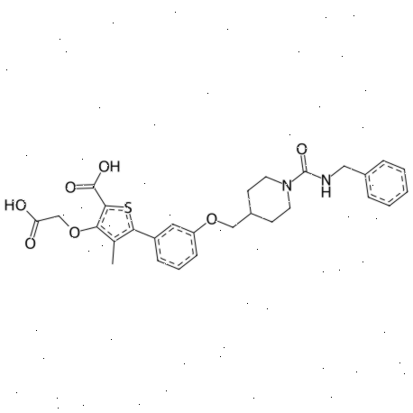 Cc1c(-c2cccc(OCC3CCN(C(=O)NCc4ccccc4)CC3)c2)sc(C(=O)O)c1OCC(=O)O